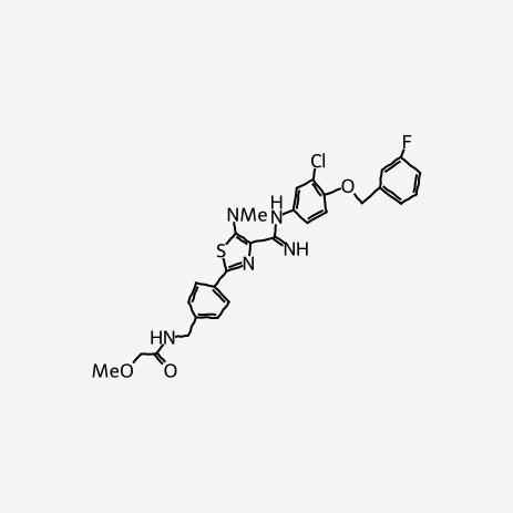 CNc1sc(-c2ccc(CNC(=O)COC)cc2)nc1C(=N)Nc1ccc(OCc2cccc(F)c2)c(Cl)c1